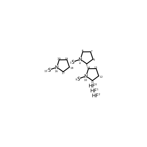 F.F.F.[S]N1CCCC1.[S]N1CCCC1.[S]N1CCCC1